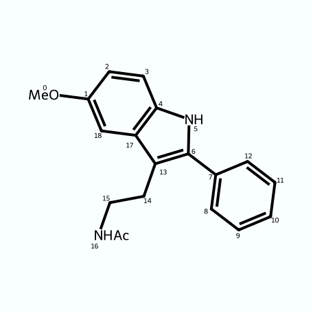 COc1ccc2[nH]c(-c3ccccc3)c(CCNC(C)=O)c2c1